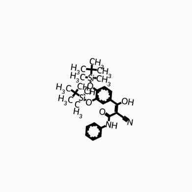 CC(C)(C)[Si](C)(C)Oc1ccc(C(O)=C(C#N)C(=O)Nc2ccccc2)cc1O[Si](C)(C)C(C)(C)C